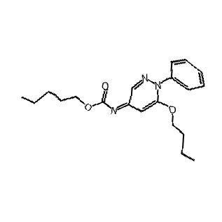 CCCCCOC(=O)N=c1cnn(-c2ccccc2)c(OCCCC)c1